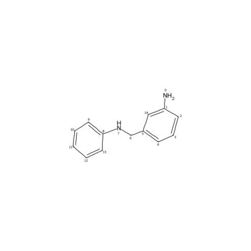 Nc1cccc(CNc2cc[c]cc2)c1